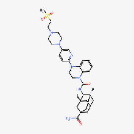 CS(=O)(=O)CCN1CCN(c2ccc(N3CCN(C(=O)NC4[C@@H]5CC6C[C@H]4CC(C(N)=O)(C6)C5)c4ccccc43)nc2)CC1